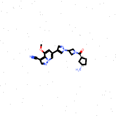 COc1cc(-c2cnn(C3CN(C(=O)[C@H]4CC[C@H](N)C4)C3)c2)cn2ncc(C#N)c12